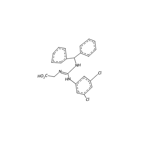 O=C(O)CN=C(Nc1cc(Cl)cc(Cl)c1)NC(c1ccccc1)c1ccccc1